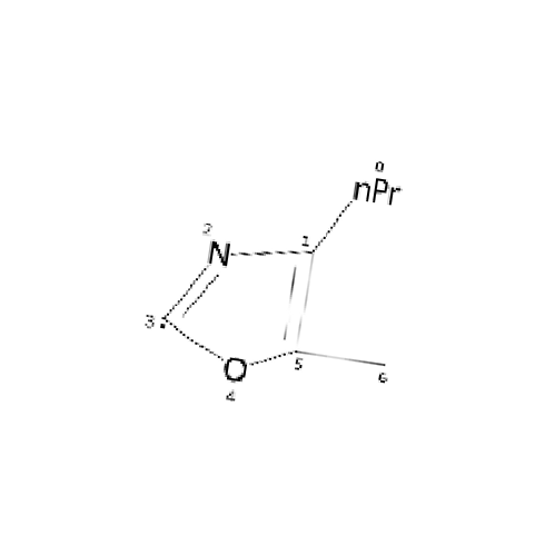 CCCc1n[c]oc1C